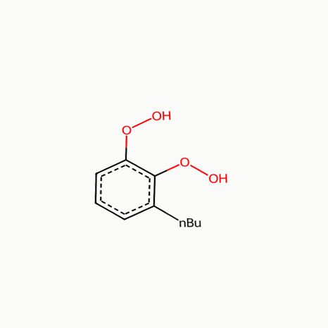 CCCCc1cccc(OO)c1OO